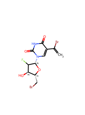 C=C(Br)c1cn([C@@H]2O[C@H](CBr)[C@@H](O)C2F)c(=O)[nH]c1=O